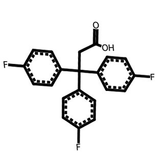 O=C(O)CC(c1ccc(F)cc1)(c1ccc(F)cc1)c1ccc(F)cc1